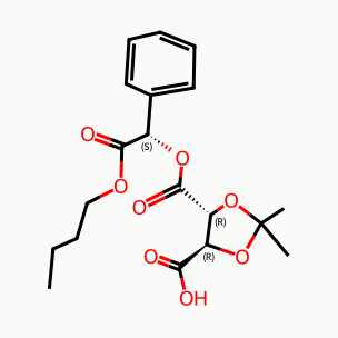 CCCCOC(=O)[C@@H](OC(=O)[C@@H]1OC(C)(C)O[C@H]1C(=O)O)c1ccccc1